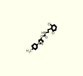 Cc1ccc(-n2cc(OC(=O)NCCc3c(Cl)cccc3Cl)cn2)cc1